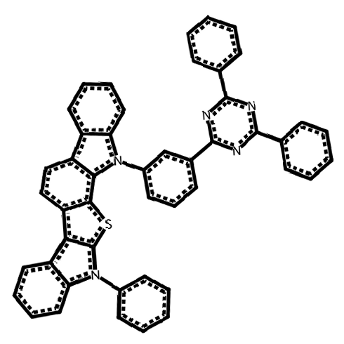 c1ccc(-c2nc(-c3ccccc3)nc(-c3cccc(-n4c5ccccc5c5ccc6c(sc7c6c6ccccc6n7-c6ccccc6)c54)c3)n2)cc1